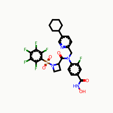 O=C(NO)c1ccc(N(Cc2ccc(C3CCCCC3)cn2)C(=O)C2CCN2S(=O)(=O)c2c(F)c(F)c(F)c(F)c2F)c(F)c1